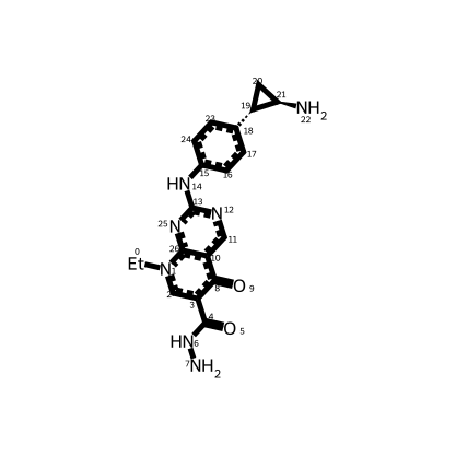 CCn1cc(C(=O)NN)c(=O)c2cnc(Nc3ccc([C@@H]4C[C@H]4N)cc3)nc21